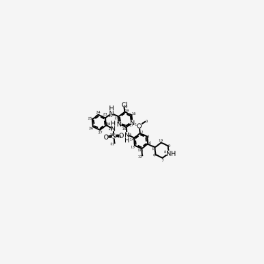 COc1cc(C2CCNCC2)c(C)cc1Nc1ncc(Cl)c(Nc2ccccc2NS(C)(=O)=O)n1